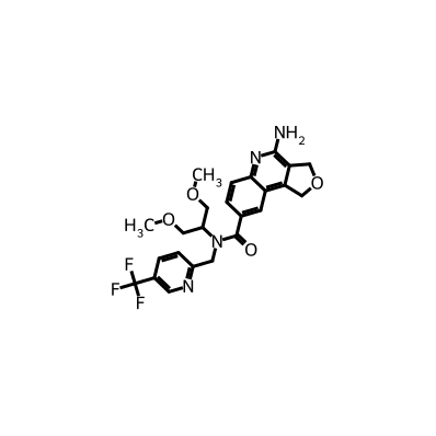 COCC(COC)N(Cc1ccc(C(F)(F)F)cn1)C(=O)c1ccc2nc(N)c3c(c2c1)COC3